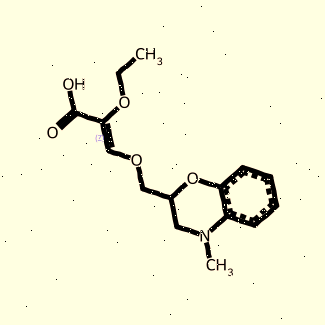 CCO/C(=C\OCC1CN(C)c2ccccc2O1)C(=O)O